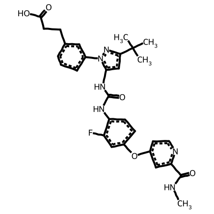 CNC(=O)c1cc(Oc2ccc(NC(=O)Nc3cc(C(C)(C)C)nn3-c3cccc(CCC(=O)O)c3)c(F)c2)ccn1